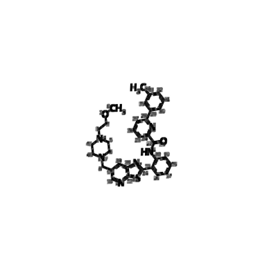 COCCN1CCN(Cc2cnc3sc(-c4ccccc4NC(=O)c4cccc(-c5cccc(C)c5)n4)nc3c2)CC1